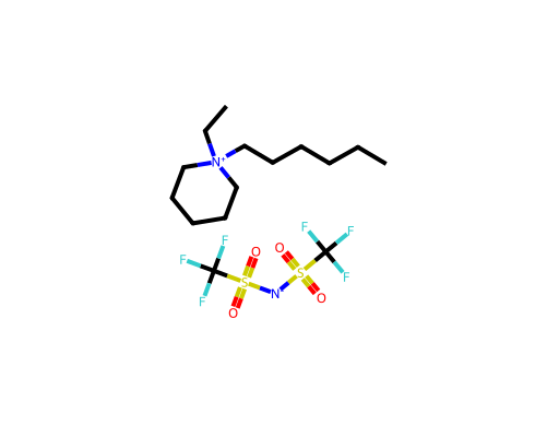 CCCCCC[N+]1(CC)CCCCC1.O=S(=O)([N-]S(=O)(=O)C(F)(F)F)C(F)(F)F